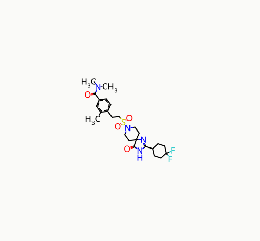 Cc1cc(C(=O)N(C)C)ccc1CCS(=O)(=O)N1CCC2(CC1)N=C(C1CCC(F)(F)CC1)NC2=O